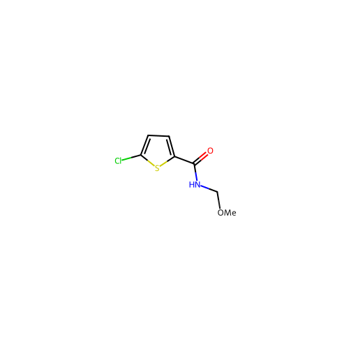 COCNC(=O)c1ccc(Cl)s1